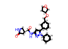 O=C1C[C@H](C(=O)Nc2cc(-c3cccc(CO[C@H]4CCOC4)c3)n(-c3ccccc3)n2)CN1